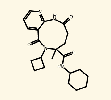 CC1(C(=O)NC2CCCCC2)CCC(=O)Nc2ncccc2C(=O)N1C1CCC1